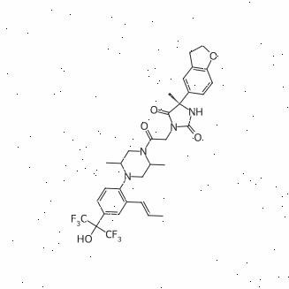 CC=Cc1cc(C(O)(C(F)(F)F)C(F)(F)F)ccc1N1CC(C)N(C(=O)CN2C(=O)N[C@@](C)(c3ccc4c(c3)CCO4)C2=O)CC1C